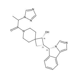 CC(C(=O)N1CCC2(CC1)C[C@@H]([C@H]1c3ccccc3-c3cncn31)[C@H]2O)n1cncn1